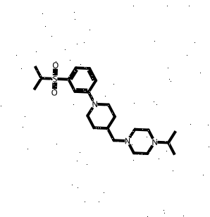 CC(C)N1CCN(CC2CCN(c3cccc(S(=O)(=O)C(C)C)c3)CC2)CC1